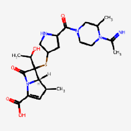 CC(=N)N1CCN(C(=O)C2CC(SC3(C(C)O)C(=O)N4C(C(=O)O)=CC(C)[C@H]43)CN2)CC1C